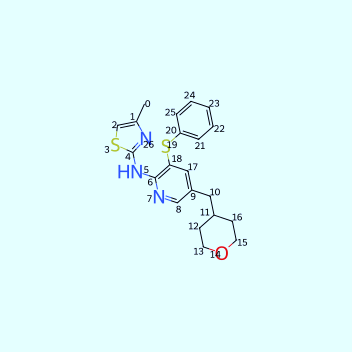 Cc1csc(Nc2ncc(CC3CCOCC3)cc2Sc2ccccc2)n1